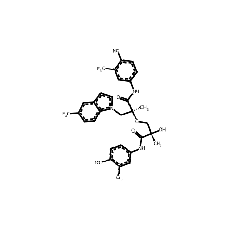 C[C@](O)(CO[C@@](C)(Cn1ccc2cc(C(F)(F)F)ccc21)C(=O)Nc1ccc(C#N)c(C(F)(F)F)c1)C(=O)Nc1ccc(C#N)c(C(F)(F)F)c1